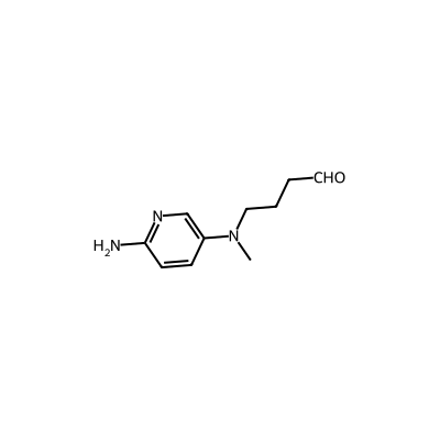 CN(CCCC=O)c1ccc(N)nc1